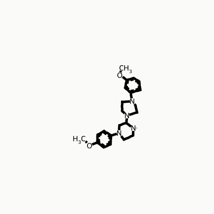 COc1ccc(N2CC[N]C(N3CCN(c4cccc(OC)c4)CC3)C2)cc1